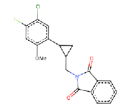 COc1cc(F)c(Cl)cc1C1CC1CN1C(=O)c2ccccc2C1=O